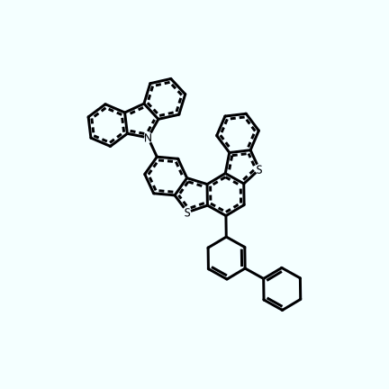 C1=CC(C2=CC(c3cc4sc5ccccc5c4c4c3sc3ccc(-n5c6ccccc6c6ccccc65)cc34)CC=C2)=CCC1